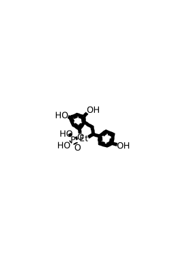 CCC(Cc1c(O)cc(O)cc1OP(=O)(O)O)c1ccc(O)cc1